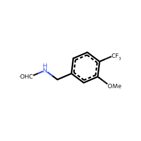 COc1cc(CN[C]=O)ccc1C(F)(F)F